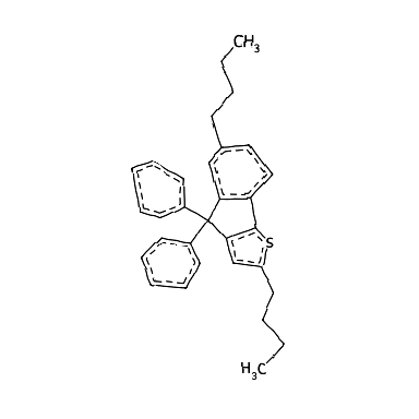 CCCCc1ccc2c(c1)C(c1ccccc1)(c1ccccc1)c1cc(CCCC)sc1-2